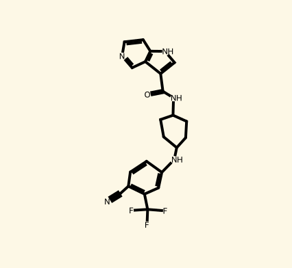 N#Cc1ccc(NC2CCC(NC(=O)c3c[nH]c4ccncc34)CC2)cc1C(F)(F)F